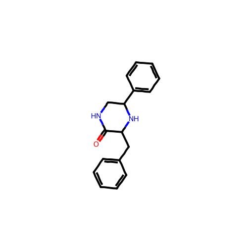 O=C1NCC(c2ccccc2)NC1Cc1ccccc1